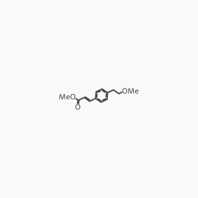 COCCc1ccc(/C=C/C(=O)OC)cc1